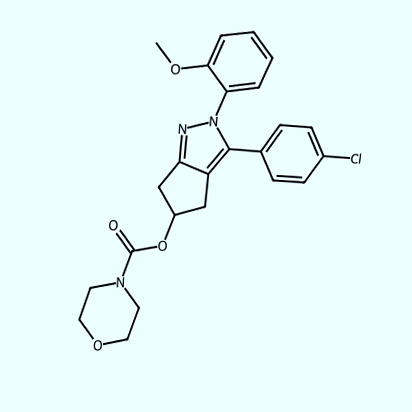 COc1ccccc1-n1nc2c(c1-c1ccc(Cl)cc1)CC(OC(=O)N1CCOCC1)C2